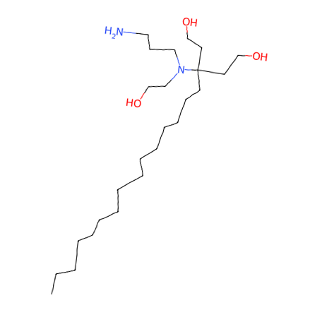 CCCCCCCCCCCCCCCC(CCO)(CCO)N(CCO)CCCN